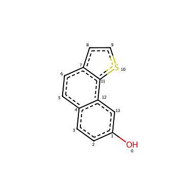 Oc1ccc2ccc3ccsc3c2c1